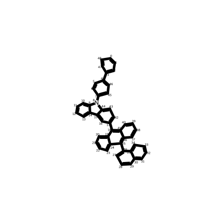 c1ccc(-c2ccc(-n3c4ccccc4c4cc(-c5c6ccccc6c(-c6cccc7ccccc67)c6ccccc56)ccc43)cc2)cc1